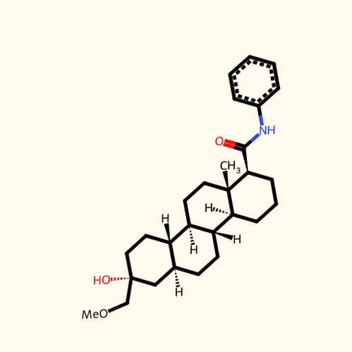 COC[C@@]1(O)CC[C@H]2[C@@H](CC[C@@H]3[C@@H]2CC[C@]2(C)[C@@H](C(=O)Nc4ccccc4)CCC[C@@H]32)C1